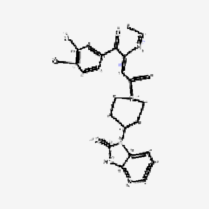 C=C(/C=C(\N=C/C)C(=O)c1ccc(Cl)c(Cl)c1)N1CCC(n2c(=O)[nH]c3ncccc32)CC1